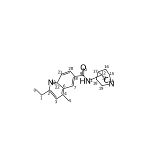 CCc1cc(C)c2cc(C(=O)NC3CN4CCC3CC4)ccc2n1